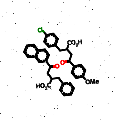 COc1ccc(C(=O)CC(Cc2ccc(Cl)cc2)C(=O)O)cc1.O=C(CC(Cc1ccccc1)C(=O)O)c1ccc2ccccc2c1